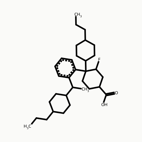 CCCC1CCC(C(C)c2ccccc2C2(C3CCC(CCC)CC3)CCC(C(=O)O)CC2F)CC1